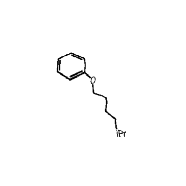 CC(C)CCCCOc1ccccc1